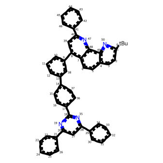 CC(C)(C)c1ccc2ccc3c(-c4cccc(-c5ccc(-c6nc(-c7ccccc7)cc(-c7ccccc7)n6)cc5)c4)cc(-c4ccccc4)nc3c2n1